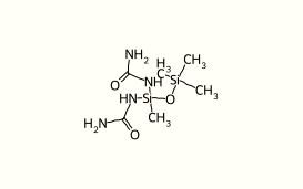 C[Si](C)(C)O[Si](C)(NC(N)=O)NC(N)=O